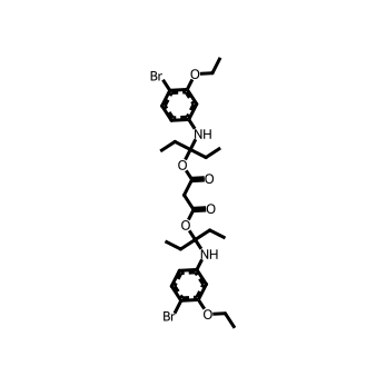 CCOc1cc(NC(CC)(CC)OC(=O)CC(=O)OC(CC)(CC)Nc2ccc(Br)c(OCC)c2)ccc1Br